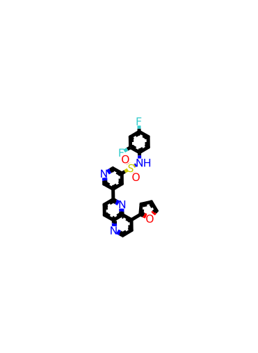 O=S(=O)(Nc1ccc(F)cc1F)c1cncc(-c2ccc3nccc(-c4ccco4)c3n2)c1